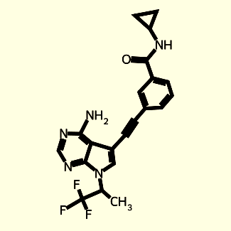 CC(n1cc(C#Cc2cccc(C(=O)NC3CC3)c2)c2c(N)ncnc21)C(F)(F)F